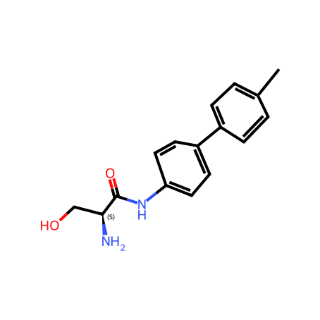 Cc1ccc(-c2ccc(NC(=O)[C@@H](N)CO)cc2)cc1